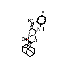 COC(=O)C12CC3CC(C1)C(OC(=O)N1CC[C@H](Nc4ccc(F)cc4[N+](=O)[O-])C1)C(C3)C2